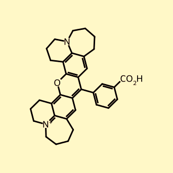 O=C(O)c1cccc(C2=c3cc4c5c(c3Oc3c2cc2c6c3CCCN6CCCC2)CCC[N+]=5CCCC4)c1